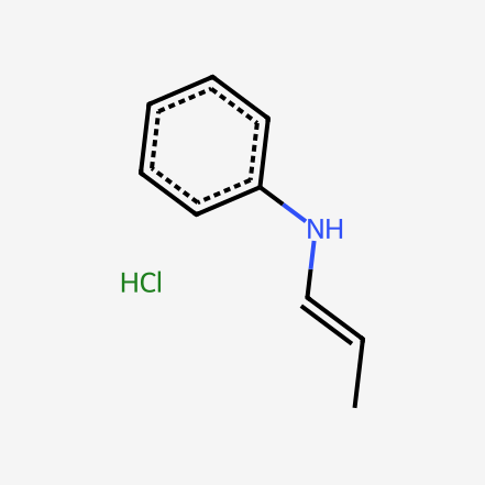 CC=CNc1ccccc1.Cl